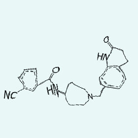 N#Cc1cccc(C(=O)NC2CCN(Cc3ccc4c(c3)NC(=O)CC4)CC2)c1